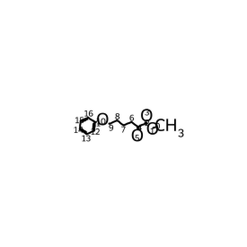 COC(=O)C(=O)CCCCOc1ccccc1